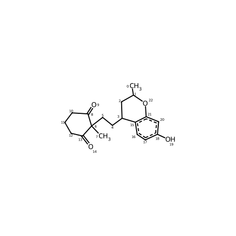 CC1CC(CCC2(C)C(=O)CCCC2=O)c2ccc(O)cc2O1